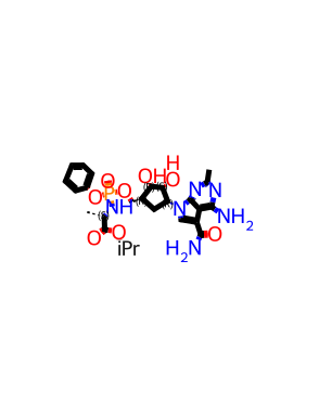 Cc1nc(N)c2c(C(N)=O)cn([C@@H]3C[C@H](COP(=O)(N[C@@H](C)C(=O)OC(C)C)Oc4ccccc4)[C@@H](O)[C@H]3O)c2n1